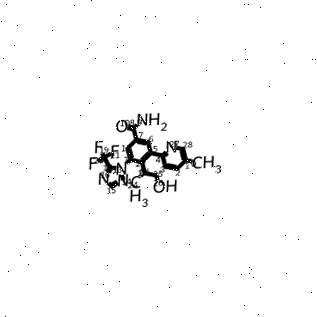 Cc1ccc(-c2cc(C(N)=O)cc(-n3ncnc3C(F)(F)F)c2[C@H](C)CO)nc1